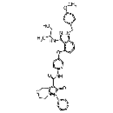 COc1ccc(Cn2nc(NC(C)CO)c3c(Oc4ccc(NC(=O)c5c6n(n(-c7ccccc7)c5=O)CCOC6)cc4)ccnc32)cc1